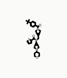 CC(C)(C)c1ccc(C(=O)N2CC3C(C2)C3CN(C(=O)c2cccs2)C2C3CN(C4CCOCC4)CC32)cc1